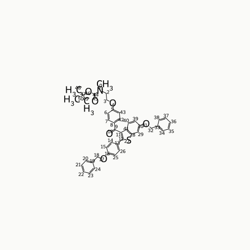 CN(CCOc1ccc(C(=O)c2c(-c3ccc(OCc4ccccc4)cc3)sc3cc(OCc4ccccc4)ccc23)cc1)C(=O)OC(C)(C)C